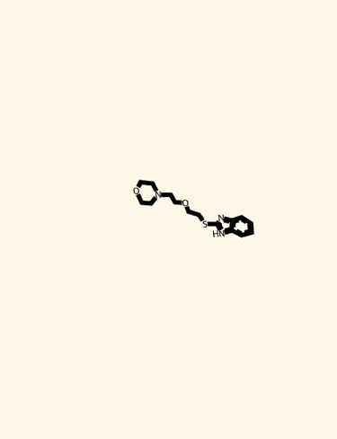 c1ccc2[nH]c(SCCOCCN3CCOCC3)nc2c1